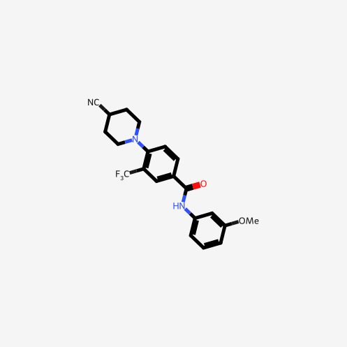 COc1cccc(NC(=O)c2ccc(N3CCC(C#N)CC3)c(C(F)(F)F)c2)c1